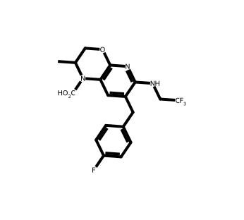 CC1COc2nc(NCC(F)(F)F)c(Cc3ccc(F)cc3)cc2N1C(=O)O